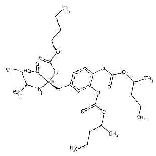 CCCCOC(=O)O[C@](Cc1ccc(OC(=O)OC(C)CCC)c(OC(=O)OC(C)CCC)c1)(NC(C)CC)C(=O)O